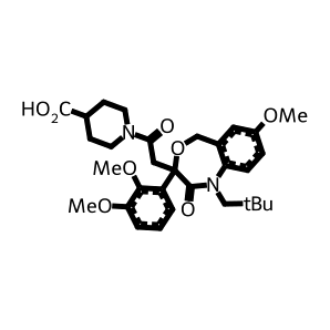 COc1ccc2c(c1)COC(CC(=O)N1CCC(C(=O)O)CC1)(c1cccc(OC)c1OC)C(=O)N2CC(C)(C)C